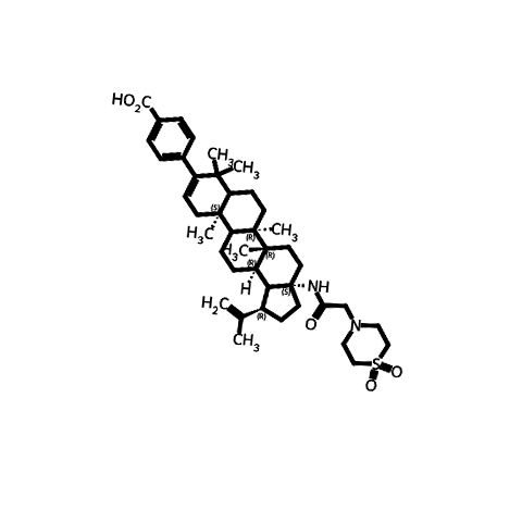 C=C(C)[C@@H]1CC[C@]2(NC(=O)CN3CCS(=O)(=O)CC3)CC[C@]3(C)[C@H](CCC4[C@@]5(C)CC=C(c6ccc(C(=O)O)cc6)C(C)(C)C5CC[C@]43C)C12